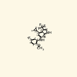 COc1c[c]c(F)cc1Nc1cc(C2CC2)c2c(C(F)(F)F)c[nH]c2n1